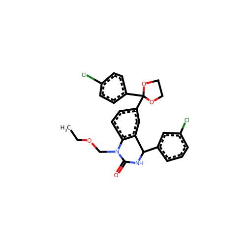 CCOCN1C(=O)NC(c2cccc(Cl)c2)c2cc(C3(c4ccc(Cl)cc4)OCCO3)ccc21